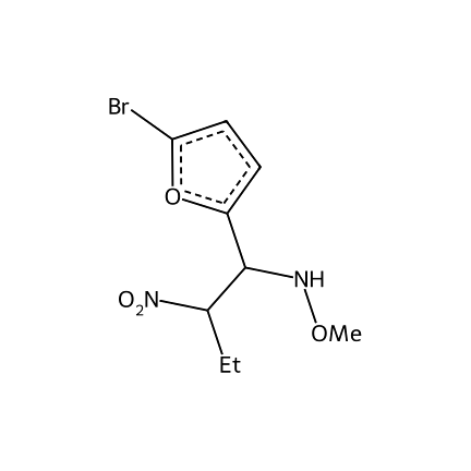 CCC(C(NOC)c1ccc(Br)o1)[N+](=O)[O-]